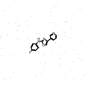 Fc1ccc(Nc2nc(-c3cccnc3)co2)cc1